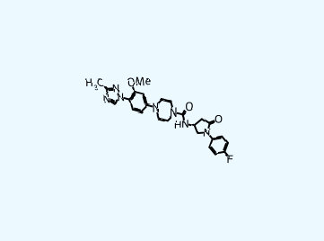 COc1cc(N2CCN(C(=O)NC3CC(=O)N(c4ccc(F)cc4)C3)CC2)ccc1-n1cnc(C)n1